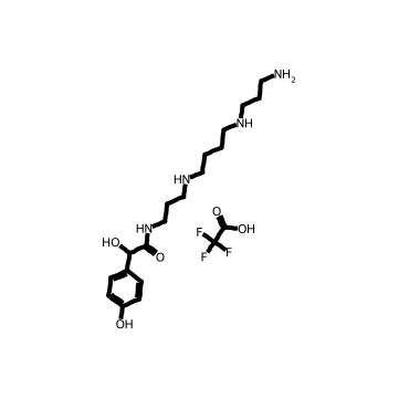 NCCCNCCCCNCCCNC(=O)C(O)c1ccc(O)cc1.O=C(O)C(F)(F)F